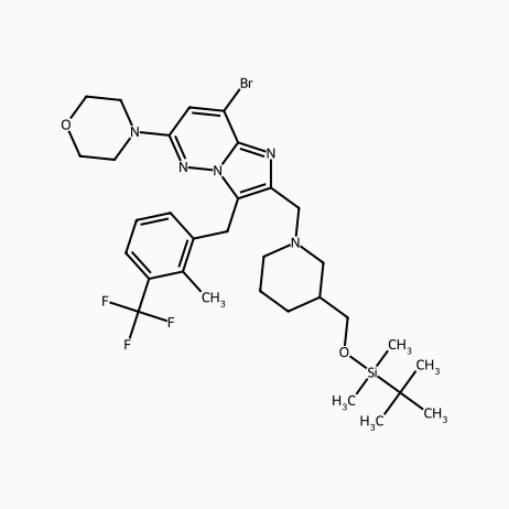 Cc1c(Cc2c(CN3CCCC(CO[Si](C)(C)C(C)(C)C)C3)nc3c(Br)cc(N4CCOCC4)nn23)cccc1C(F)(F)F